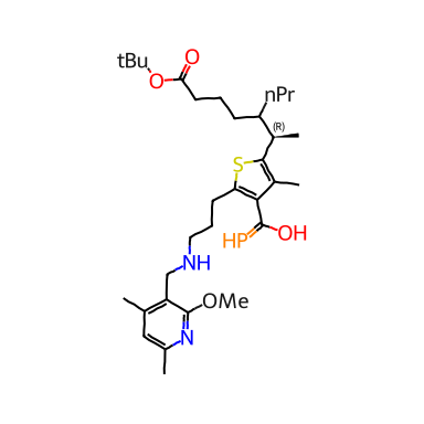 CCCC(CCCC(=O)OC(C)(C)C)[C@@H](C)c1sc(CCCNCc2c(C)cc(C)nc2OC)c(C(O)=P)c1C